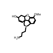 COc1ccc2c3c1OC1CC(O)C=CC31CCN(CCCN)C2